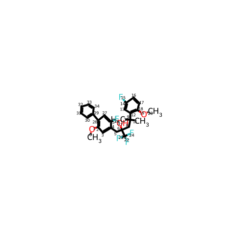 COc1cc(CC(O)(CC(C)(C)c2cc(F)ccc2OC)C(F)(F)F)c(F)cc1-c1ccccc1